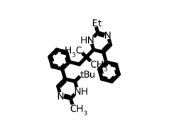 CCC1=NC=C(c2ccccc2)C(C(C)(C)Cc2ccccc2C2=CN=C(C)NC2C(C)(C)C)N1